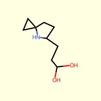 OC(O)CCC1CCC2(CC2)N1